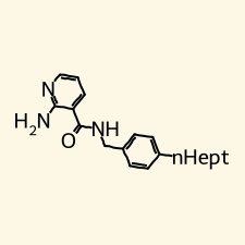 CCCCCCCc1ccc(CNC(=O)c2cccnc2N)cc1